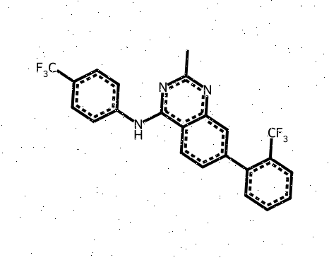 Cc1nc(Nc2ccc(C(F)(F)F)cc2)c2ccc(-c3ccccc3C(F)(F)F)cc2n1